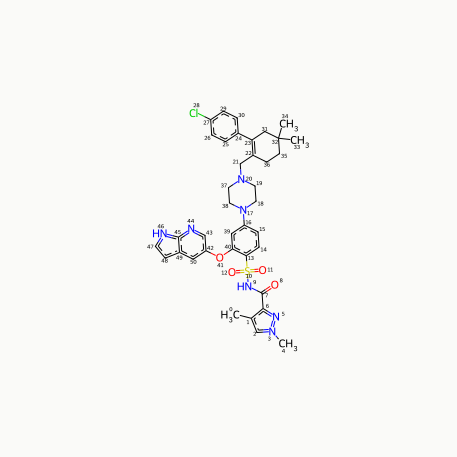 Cc1cn(C)nc1C(=O)NS(=O)(=O)c1ccc(N2CCN(CC3=C(c4ccc(Cl)cc4)CC(C)(C)CC3)CC2)cc1Oc1cnc2[nH]ccc2c1